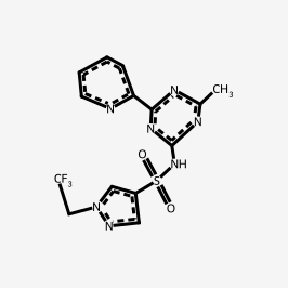 Cc1nc(NS(=O)(=O)c2cnn(CC(F)(F)F)c2)nc(-c2ccccn2)n1